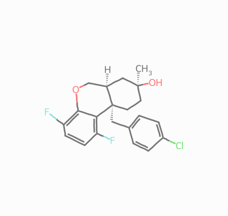 C[C@]1(O)CC[C@@]2(Cc3ccc(Cl)cc3)c3c(F)ccc(F)c3OC[C@H]2C1